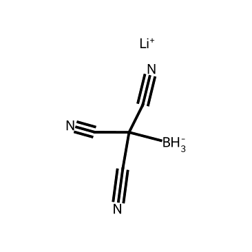 [BH3-]C(C#N)(C#N)C#N.[Li+]